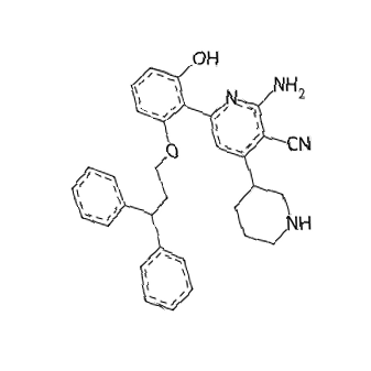 N#Cc1c(C2CCCNC2)cc(-c2c(O)cccc2OCCC(c2ccccc2)c2ccccc2)nc1N